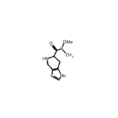 CON(C)C(=O)C1Cc2[nH]cnc2CN1